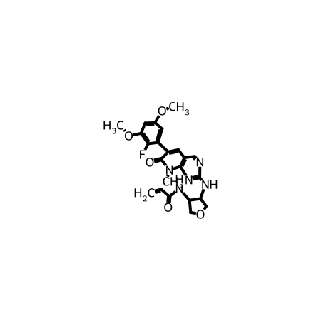 C=CC(=O)NC1COCC1Nc1ncc2cc(-c3cc(OC)cc(OC)c3F)c(=O)n(C)c2n1